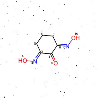 O=C1C(=NO)CCC/C1=N\O